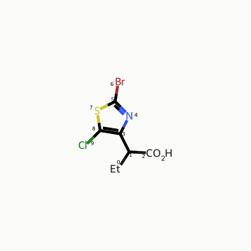 CCC(C(=O)O)c1nc(Br)sc1Cl